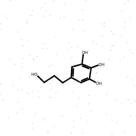 OCCCc1cc(O)c(O)c(O)c1